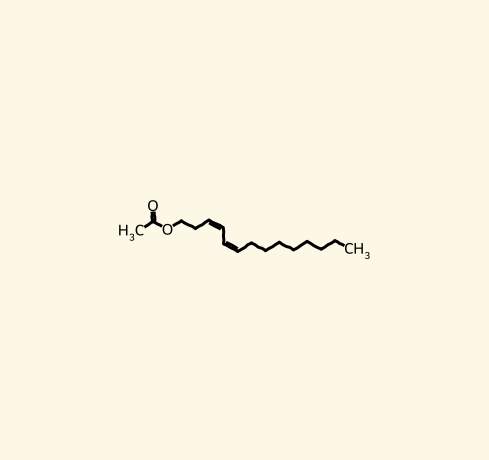 CCCCCCCC/C=C\C=C/CCOC(C)=O